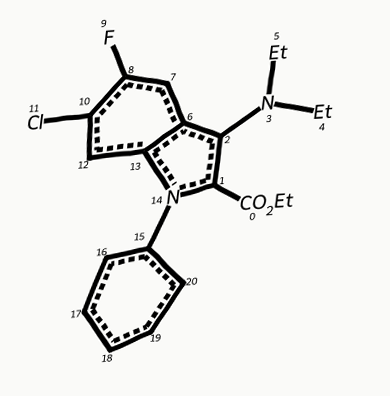 CCOC(=O)c1c(N(CC)CC)c2cc(F)c(Cl)cc2n1-c1ccccc1